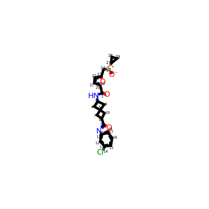 O=C(NC1CC2(C1)CC(c1nc3cc(Cl)ccc3o1)C2)c1ccc(C[S+]([O-])C2CC2)o1